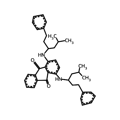 CC(C)CC(CCc1ccccc1)Nc1ccc(NC(CCc2ccccc2)CC(C)C)c2c1C(=O)c1ccccc1C2=O